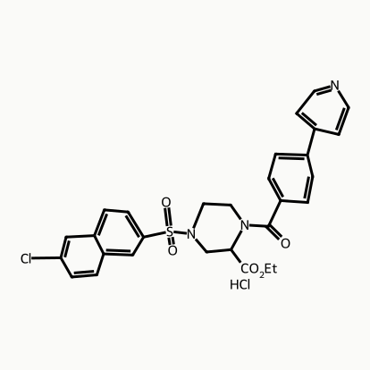 CCOC(=O)C1CN(S(=O)(=O)c2ccc3cc(Cl)ccc3c2)CCN1C(=O)c1ccc(-c2ccncc2)cc1.Cl